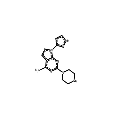 Nc1nc(N2CCNCC2)nc2c1cnn2-c1cc[nH]n1